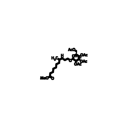 COC(=O)CCCCCCC(C)NCCO[C@@H]1O[C@H](COC(C)=O)[C@H](OC(C)=O)[C@H](OC(C)=O)[C@H]1OC(C)=O